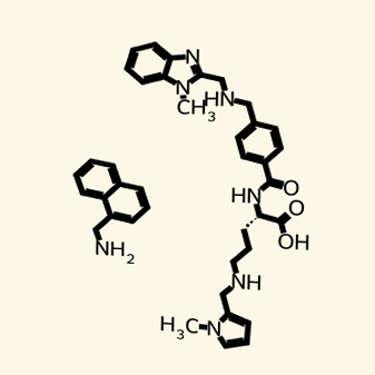 Cn1cccc1CNCCC[C@H](NC(=O)c1ccc(CNCc2nc3ccccc3n2C)cc1)C(=O)O.NCc1cccc2ccccc12